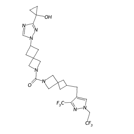 O=C(N1CC2(CC(Cc3cn(CC(F)(F)F)nc3C(F)(F)F)C2)C1)N1CC2(CC(n3cnc(C4(O)CC4)n3)C2)C1